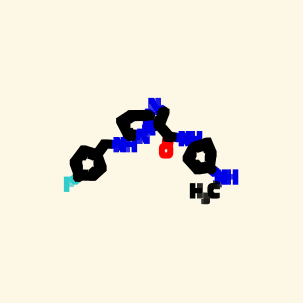 CNc1ccc(NC(=O)c2cnc3ccc(NCc4ccc(F)cc4)nn23)cc1